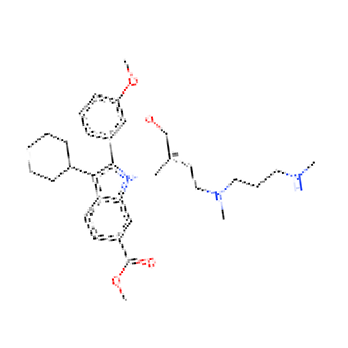 CNCCCN(C)CC[C@H]1COc2c(OC)cccc2-c2c(C3CCCCC3)c3ccc(C(=O)OC)cc3n2C1